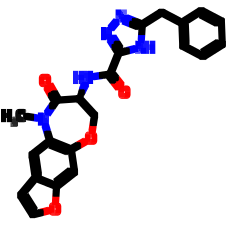 CN1C(=O)[C@@H](NC(=O)c2nnc(Cc3ccccc3)[nH]2)COc2cc3occc3cc21